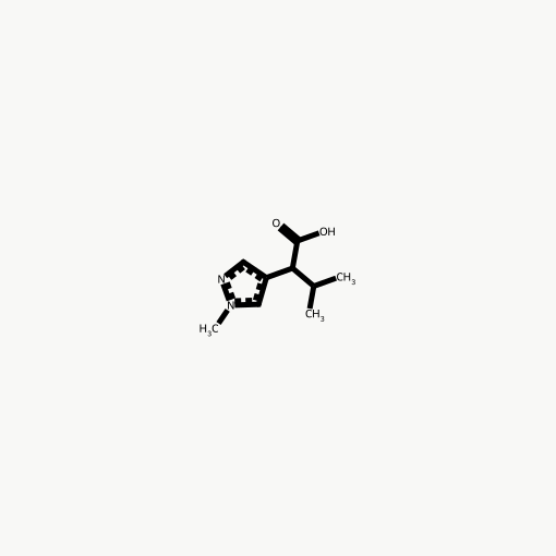 CC(C)C(C(=O)O)c1cnn(C)c1